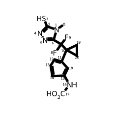 Cn1c(S)nnc1C(F)(F)C1(c2cccc(NC(=O)O)c2)CC1